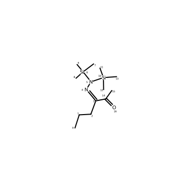 CCCC(=NN([Si](C)(C)C)[Si](C)(C)C)C(C)=O